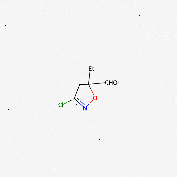 CCC1([C]=O)CC(Cl)=NO1